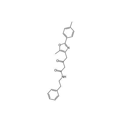 Cc1ccc(-c2nc(CC(=O)CC(=O)NCCc3ccccc3)c(C)o2)cc1